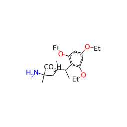 CCOc1cc(OCC)c(C(C)C(C)CC(C)(N)C(=O)O)c(OCC)c1